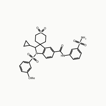 COc1cccc(S(=O)(=O)N2c3ccc(C(=O)Nc4cccc(S(N)(=O)=O)c4)cc3C3(CCS(=O)(=O)CC3)C2C2CC2)c1